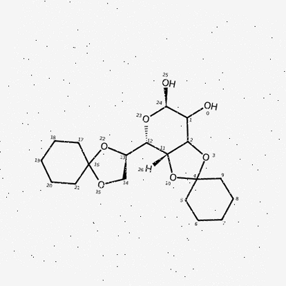 OC1C2OC3(CCCCC3)O[C@@H]2[C@H]([C@H]2COC3(CCCCC3)O2)O[C@H]1O